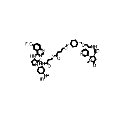 CC(C)N(C)[C@@H]1CC[C@H](N2CC[C@H](Nc3ncnc4ccc(C(F)(F)F)cc34)C2=O)[C@H](NC(=O)CCNC(=O)CCCOC[C@H]2CC[C@@H](COCCNC3OC3[C@H]3CC(=O)N(C)[C@@H]3c3cccnc3)CC2)C1